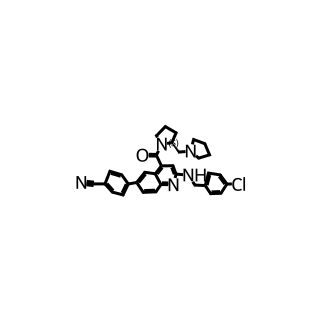 N#Cc1ccc(-c2ccc3nc(NCc4ccc(Cl)cc4)cc(C(=O)N4CCC[C@H]4CN4CCCC4)c3c2)cc1